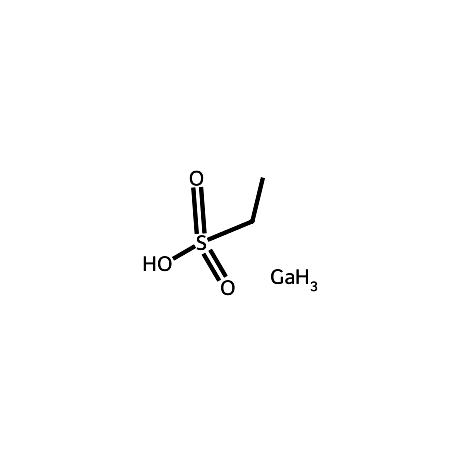 CCS(=O)(=O)O.[GaH3]